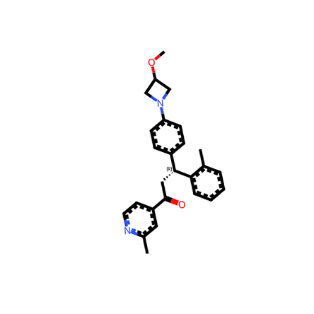 COC1CN(c2ccc([C@@H](CC(=O)c3ccnc(C)c3)c3ccccc3C)cc2)C1